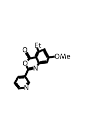 CCc1cc(OC)cc2nc(-c3cccnc3)oc(=O)c12